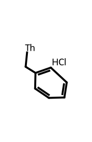 Cl.[Th][CH2]c1ccccc1